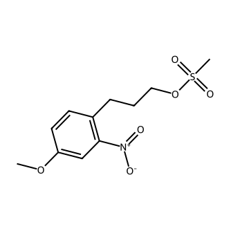 COc1ccc(CCCOS(C)(=O)=O)c([N+](=O)[O-])c1